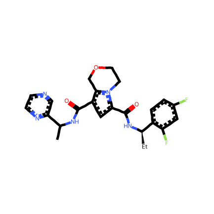 CC[C@@H](NC(=O)c1cc(C(=O)NC(C)c2cnccn2)c2n1CCOC2)c1ccc(F)cc1F